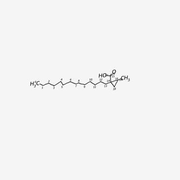 CCCCCCCCCCCCCCC1(C(=O)O)CC1C